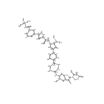 O=C1CCC(N2Cc3cc(CN4CCN(c5ccc(-n6cc(NC(=O)c7coc(-c8ccnc(NCC(F)(F)F)c8)n7)c(C(F)F)n6)cc5)CC4)c(F)cc3C2=O)C(=O)N1